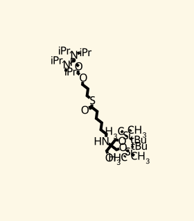 CC(C)N(C(C)C)P(OCOCCCSC(=O)CCCCCNC(CO)(CO[Si](C)(C)C(C)(C)C)CO[Si](C)(C)C(C)(C)C)N(C(C)C)C(C)C